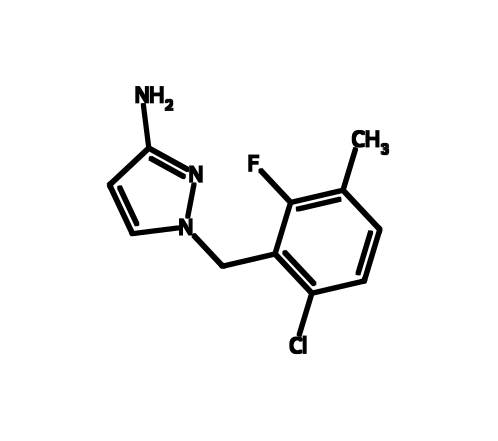 Cc1ccc(Cl)c(Cn2ccc(N)n2)c1F